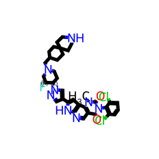 Cn1c(=O)n(-c2c(Cl)cccc2Cl)c(=O)c2cnc3[nH]c(-c4cnn([C@@H]5CCN(CC6CCC7(CCNCC7)CC6)C[C@H]5F)c4)cc3c21